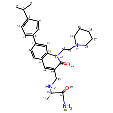 CC(C)c1ccc(-c2ccc3cc(CN[C@@H](C)C(N)=O)c(=O)n(CCN4CCCCC4)c3c2)cc1